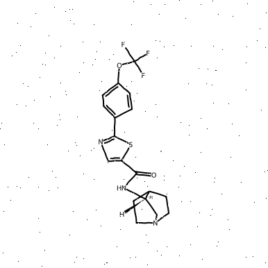 O=C(N[C@H]1CN2CCC1CC2)c1cnc(-c2ccc(OC(F)(F)F)cc2)s1